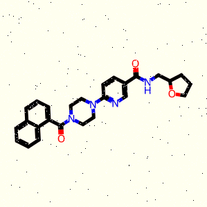 O=C(NCC1CCCO1)c1ccc(N2CCN(C(=O)c3cccc4ccccc34)CC2)nc1